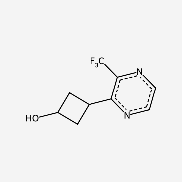 OC1CC(c2nccnc2C(F)(F)F)C1